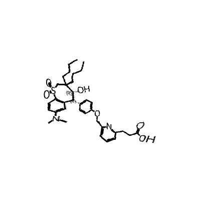 CCCCC1(CCCC)CS(=O)(=O)c2ccc(N(C)C)cc2[C@@H](c2ccc(OCc3cccc(CCC(=O)O)n3)cc2)[C@H]1O